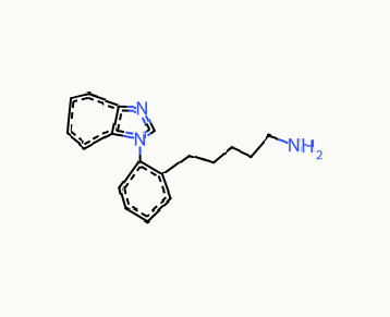 NCCCCCc1ccccc1-n1cnc2ccccc21